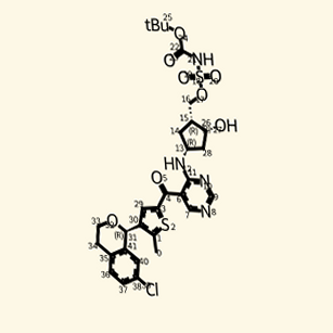 Cc1sc(C(=O)c2cncnc2N[C@@H]2C[C@H](COS(=O)(=O)NC(=O)OC(C)(C)C)[C@H](O)C2)cc1[C@@H]1OCCc2ccc(Cl)cc21